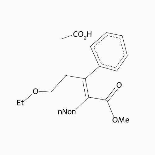 CC(=O)O.CCCCCCCCCC(C(=O)OC)=C(CCOCC)c1ccccc1